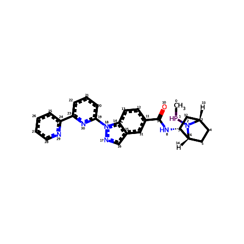 CPN1[C@H]2CC[C@@H]1[C@H](NC(=O)c1ccc3c(cnn3-c3cccc(-c4ccccn4)n3)c1)C2